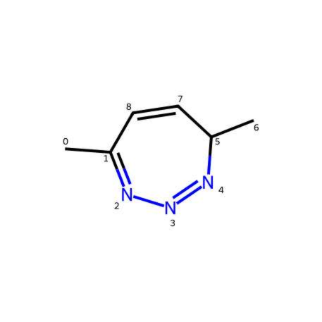 CC1=NN=NC(C)C=C1